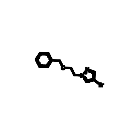 Brc1cnn(CCOCc2ccccc2)c1